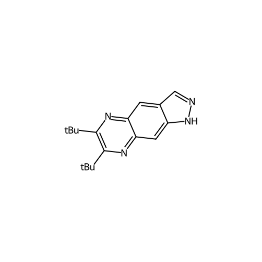 CC(C)(C)c1nc2cc3cn[nH]c3cc2nc1C(C)(C)C